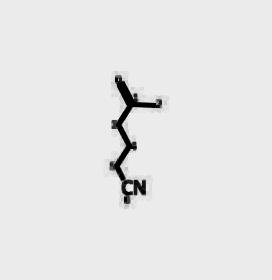 C=C(C)CCCC#N